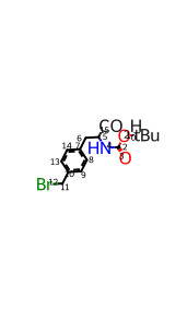 CC(C)(C)OC(=O)NC(Cc1ccc(CBr)cc1)C(=O)O